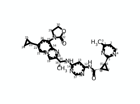 Cc1ccnc([C@H]2C[C@@H]2C(=O)Nc2cc(N[C@H](C)c3cn4cc(C5CC5)cc(N5CCOC5=O)c4n3)ncn2)n1